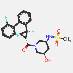 CS(=O)(=O)N[C@H]1C[C@@H](O)CN(C(=O)[C@@H]2C[C@@]2(F)c2ccccc2-c2c(F)cccc2F)C1